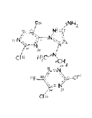 CN(C)c1cc(N)nn1-c1nc(Cl)ncc1F.Fc1cnc(Cl)nc1Cl